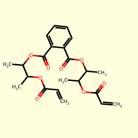 C=CC(=O)OC(C)C(C)OC(=O)c1ccccc1C(=O)OC(C)C(C)OC(=O)C=C